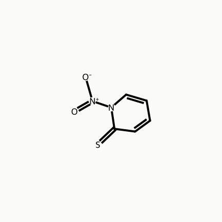 O=[N+]([O-])n1ccccc1=S